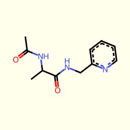 CC(=O)NC(C)C(=O)NCc1ccccn1